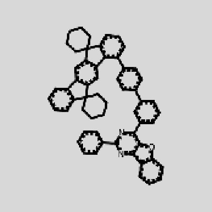 c1ccc(-c2nc(-c3cccc(-c4ccc(-c5cccc6c5-c5cc7c(cc5C65CCCCC5)-c5ccccc5C75CCCCC5)cc4)c3)c3oc4ccccc4c3n2)cc1